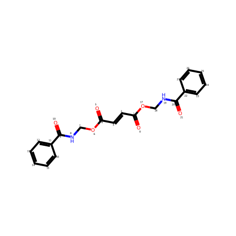 O=C(/C=C/C(=O)OCNC(=O)c1ccccc1)OCNC(=O)c1ccccc1